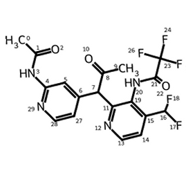 CC(=O)Nc1cc(C(C(C)=O)c2nccc(C(F)F)c2NC(=O)C(F)(F)F)ccn1